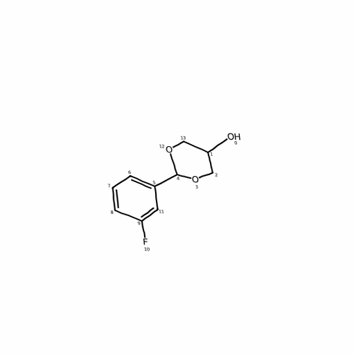 OC1COC(c2cccc(F)c2)OC1